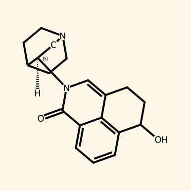 O=c1c2cccc3c2c(cn1[C@@H]1CN2CCC1CC2)CCC3O